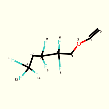 C=COCC(F)(F)C(F)(F)CC(F)(F)F